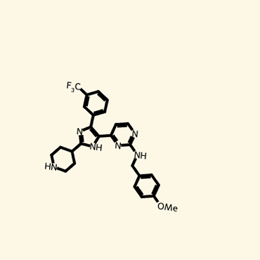 COc1ccc(CNc2nccc(-c3[nH]c(C4CCNCC4)nc3-c3cccc(C(F)(F)F)c3)n2)cc1